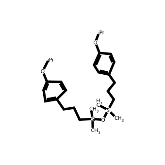 CC(C)Oc1ccc(CCC[Si](C)(C)O[Si](C)(C)CCCc2ccc(OC(C)C)cc2)cc1